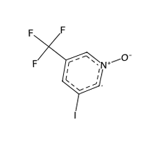 [O-][n+]1[c]c(I)cc(C(F)(F)F)c1